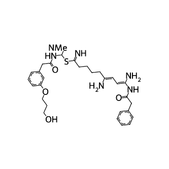 CNC(NC(=O)Cc1cccc(OCCCO)c1)SC(=N)CCCC/C(N)=C/C=C(\N)NC(=O)Cc1ccccc1